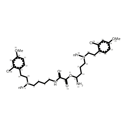 CCCN(CCCCNC(=O)C(=O)OC(N)CCCN(CCC)CCc1ccc(OC)cc1Cl)CCc1ccc(OC)cc1Cl